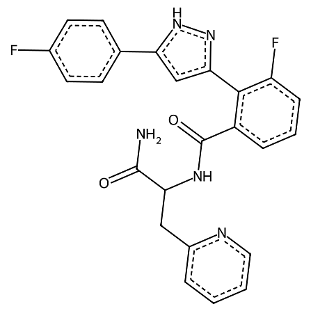 NC(=O)C(Cc1ccccn1)NC(=O)c1cccc(F)c1-c1cc(-c2ccc(F)cc2)[nH]n1